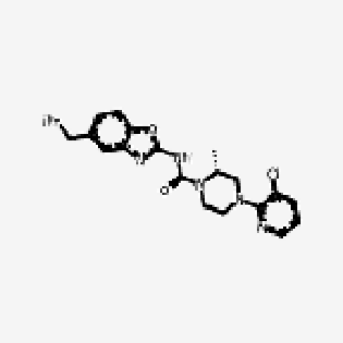 CC(C)Cc1ccc2oc(NC(=O)N3CCN(c4ncccc4Cl)C[C@H]3C)nc2c1